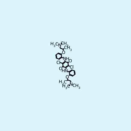 CC(CN(C)C)Oc1ccccc1NC1=C(Cl)C(=O)C(Nc2ccccc2OC(C)CN(C)C)=C(Cl)C1=O